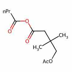 CCCC(=O)OC(=O)CC(C)(C)COC(C)=O